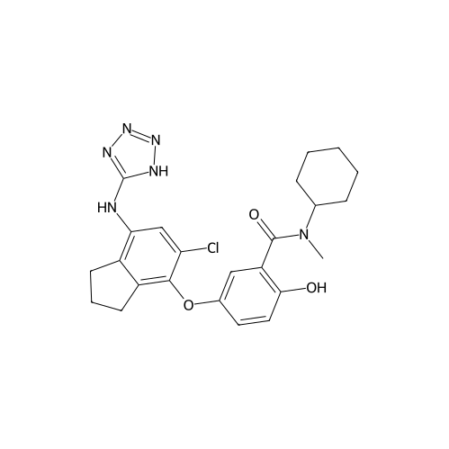 CN(C(=O)c1cc(Oc2c(Cl)cc(Nc3nnn[nH]3)c3c2CCC3)ccc1O)C1CCCCC1